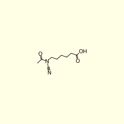 CC(=O)N(C#N)CCCCCC(=O)O